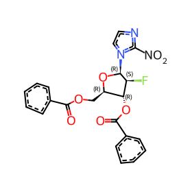 O=C(OC[C@H]1O[C@@H](n2ccnc2[N+](=O)[O-])[C@@H](F)[C@@H]1OC(=O)c1ccccc1)c1ccccc1